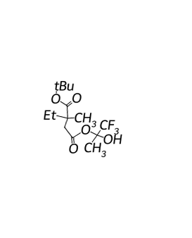 CCC(C)(CC(=O)OC(C)(O)C(F)(F)F)C(=O)OC(C)(C)C